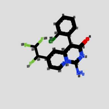 Nc1nc(=O)c(-c2ccccc2Cl)c2cc(C(F)C(F)F)ccn12